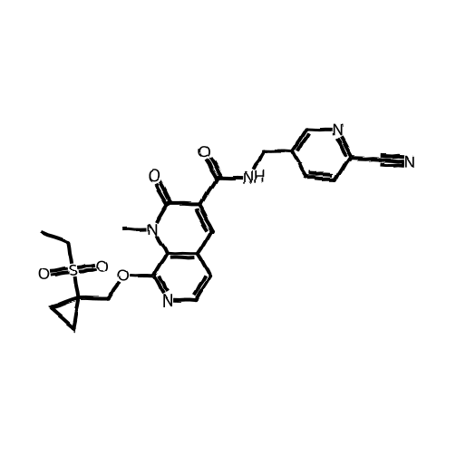 CCS(=O)(=O)C1(COc2nccc3cc(C(=O)NCc4ccc(C#N)nc4)c(=O)n(C)c23)CC1